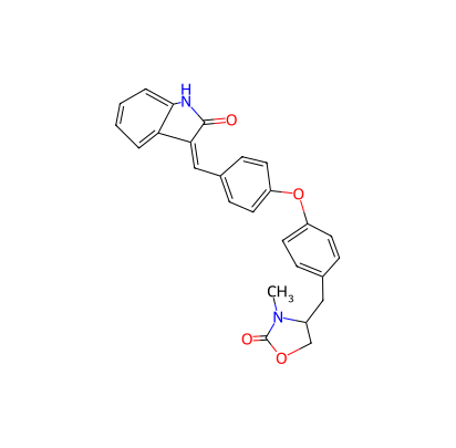 CN1C(=O)OCC1Cc1ccc(Oc2ccc(/C=C3\C(=O)Nc4ccccc43)cc2)cc1